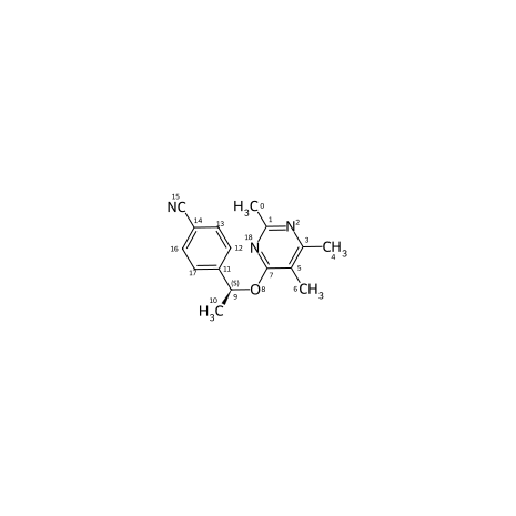 Cc1nc(C)c(C)c(O[C@@H](C)c2ccc(C#N)cc2)n1